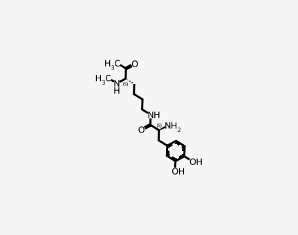 CN[C@@H](CCCCNC(=O)[C@@H](N)Cc1ccc(O)c(O)c1)C(C)=O